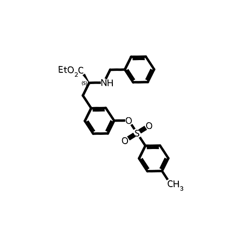 CCOC(=O)[C@H](Cc1cccc(OS(=O)(=O)c2ccc(C)cc2)c1)NCc1ccccc1